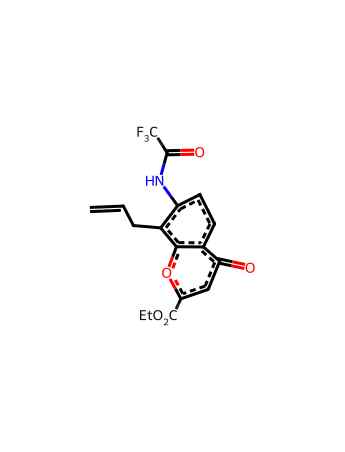 C=CCc1c(NC(=O)C(F)(F)F)ccc2c(=O)cc(C(=O)OCC)oc12